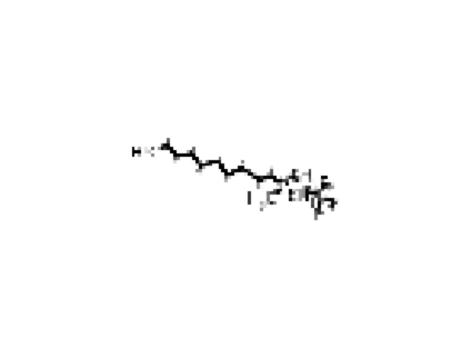 CCCCCCCCCC[P+](C)(C)C.F[B-](F)(F)F